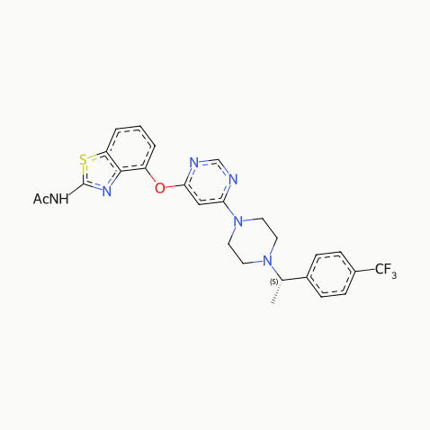 CC(=O)Nc1nc2c(Oc3cc(N4CCN([C@@H](C)c5ccc(C(F)(F)F)cc5)CC4)ncn3)cccc2s1